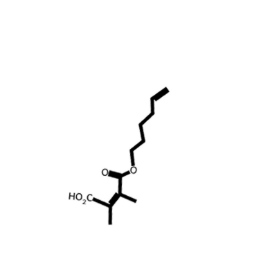 C=CCCCCOC(=O)/C(C)=C(/C)C(=O)O